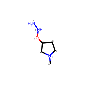 CN1CCC(ONN)C1